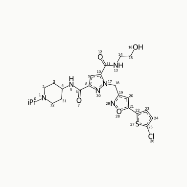 CC(C)N1CCC(NC(=O)c2cc(C(=O)NCCO)n(Cc3cc(-c4ccc(Cl)s4)on3)n2)CC1